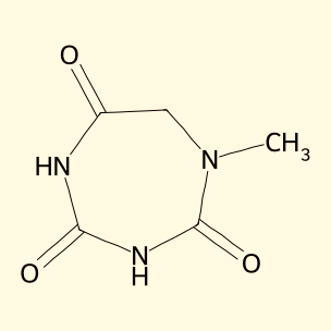 CN1CC(=O)NC(=O)NC1=O